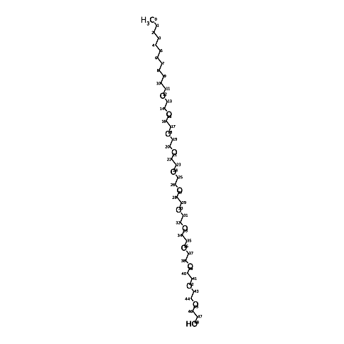 CCCCCCCCCCCCOCCOCCOCCOCCOCCOCCOCCOCCOCCOCCOCCOCCO